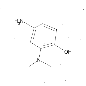 CN(C)c1cc(N)ccc1O